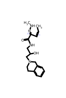 C/C=C\C(=N/NC)C(=O)NCC(O)CN1CCc2ccccc2C1